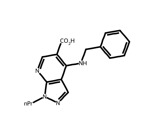 CCCn1ncc2c(NCc3ccccc3)c(C(=O)O)cnc21